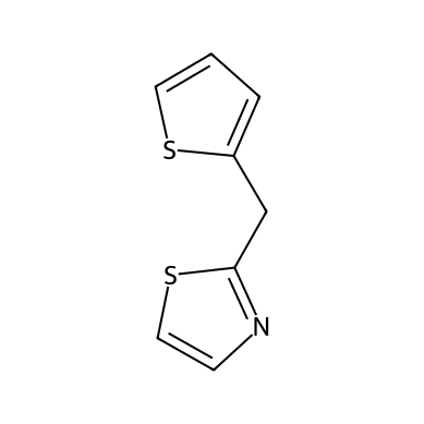 c1csc(Cc2nccs2)c1